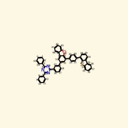 c1ccc(-c2nc(-c3ccccc3)nc(-c3cccc(-c4cc(-c5ccc(-c6cccc7c6sc6ccccc67)cc5)c5oc6ccccc6c5c4)c3)n2)cc1